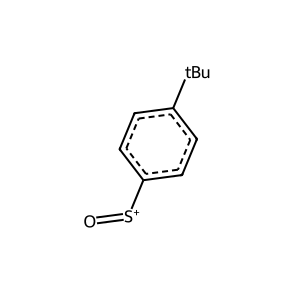 CC(C)(C)c1ccc([S+]=O)cc1